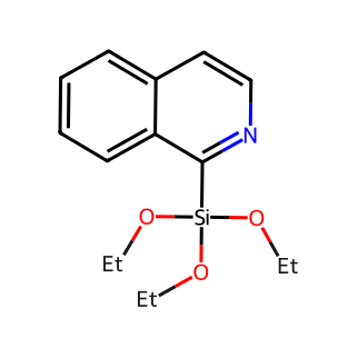 CCO[Si](OCC)(OCC)c1nccc2ccccc12